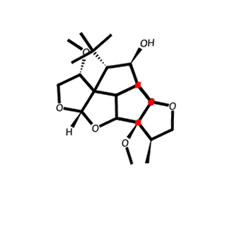 CO[C@H]1CO[C@H]2OC34COC5[C@H](O)[C@@H](C(C)(C)C)C21C53CC1OC[C@@H](C)[C@@]14OC